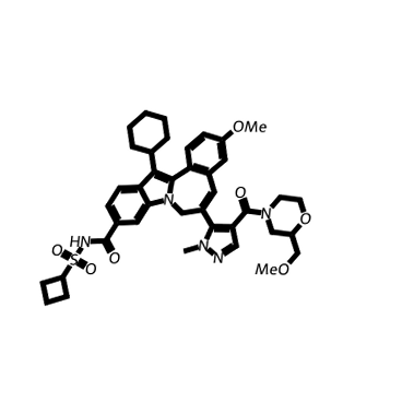 COCC1CN(C(=O)c2cnn(C)c2C2=Cc3cc(OC)ccc3-c3c(C4CCCCC4)c4ccc(C(=O)NS(=O)(=O)C5CCC5)cc4n3C2)CCO1